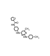 Cc1ccc(Nc2nc(C)cc(Nc3ccc(NC(=O)c4ccco4)cc3)n2)cc1